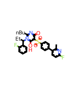 CCCCc1nc(=O)c(S(=O)(=O)c2ccc(-c3ccc(F)nc3C)cc2)c(O)n1C(CC)c1ccccc1F